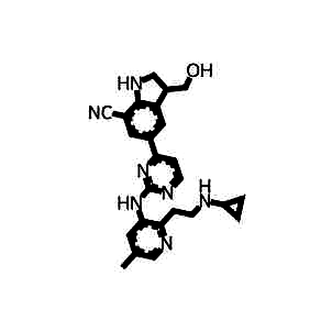 Cc1cnc(CCNC2CC2)c(Nc2nccc(-c3cc(C#N)c4c(c3)C(CO)CN4)n2)c1